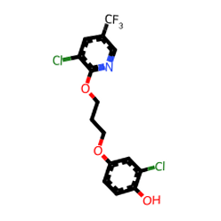 Oc1ccc(OCCCOc2ncc(C(F)(F)F)cc2Cl)cc1Cl